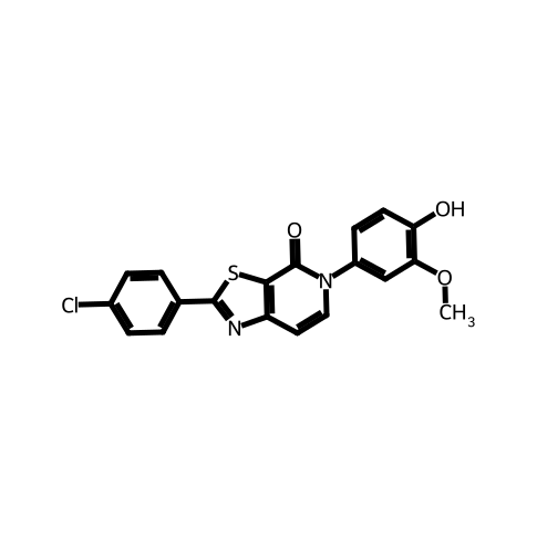 COc1cc(-n2ccc3nc(-c4ccc(Cl)cc4)sc3c2=O)ccc1O